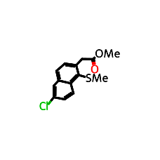 COC(=O)Cc1ccc2cc(Cl)ccc2c1SC